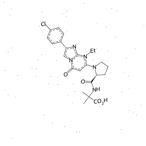 CCn1c(N2CCC[C@H]2C(=O)NC(C)(C)C(=O)O)cc(=O)n2cc(-c3ccc(Cl)cc3)nc12